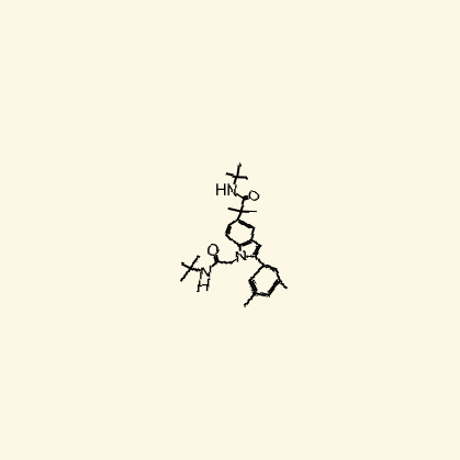 Cc1cc(C)cc(-c2cc3cc(C(C)(C)C(=O)NC(C)(C)C)ccc3n2CC(=O)NC(C)(C)C)c1